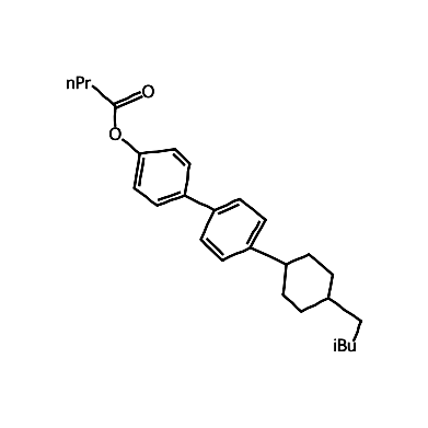 CCCC(=O)Oc1ccc(-c2ccc(C3CCC(CC(C)CC)CC3)cc2)cc1